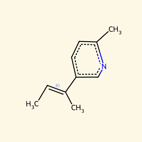 C/C=C(\C)c1ccc(C)nc1